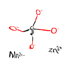 [Mn+2].[O-][Si]([O-])([O-])[O-].[Zn+2]